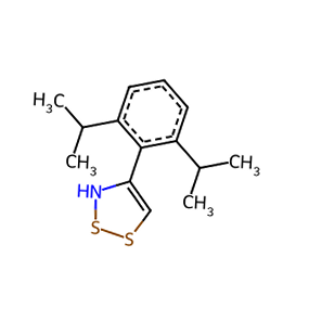 CC(C)c1cccc(C(C)C)c1C1=CSSN1